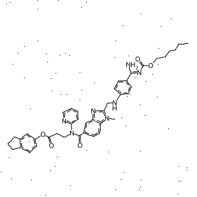 CCCCCCOC(=O)/N=C(\N)c1ccc(NCc2nc3cc(C(=O)N(CCC(=O)Oc4ccc5c(c4)CCC5)c4ccccn4)ccc3n2C)cc1